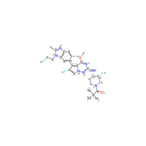 [2H]C([2H])([2H])C(=O)N1CC[C@H](Nc2nc(OC)c3c(-c4ccc5nc(C)n(CCF)c5c4)c(F)cn3n2)[C@H](F)C1